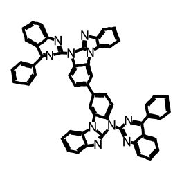 c1ccc(-c2nc(-n3c4ccc(-c5ccc6c(c5)n5c7ccccc7nc5n6-c5nc(-c6ccccc6)c6ccccc6n5)cc4n4c5ccccc5nc34)nc3ccccc23)cc1